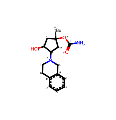 CC(C)(C)C1(OC(N)=O)CC(O)C(N2CCc3ccccc3C2)C1